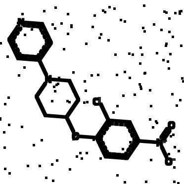 O=[N+]([O-])c1ccc(OC2CCN(c3ccncc3)CC2)c(Cl)c1